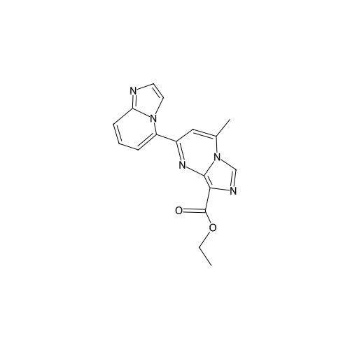 CCOC(=O)c1ncn2c(C)cc(-c3cccc4nccn34)nc12